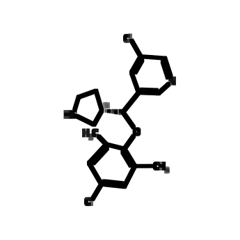 Cc1cc(Cl)cc(C)c1OC(c1cncc(Cl)c1)[C@H]1CCNC1